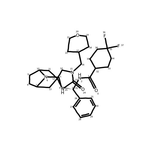 O=C(N[C@@H](CCN1C2CCC1CC1(C2)CN(CC2CCOCC2)C(=O)N1)c1ccccc1)C1CCC(F)(F)CC1